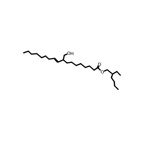 CCCCCCC/C=C/C(CO)CCCCCCCC(=O)OCC(CC)CCCC